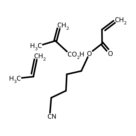 C=C(C)C(=O)O.C=CC.C=CC(=O)OCCCCC#N